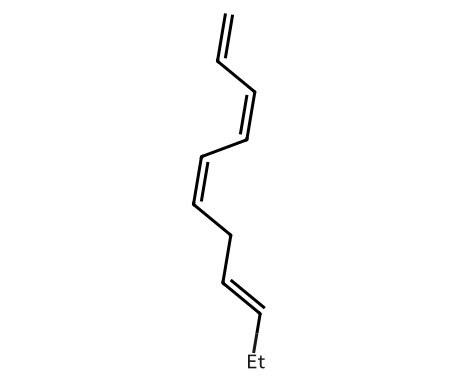 C=C/C=C\C=C/C/C=C/CC